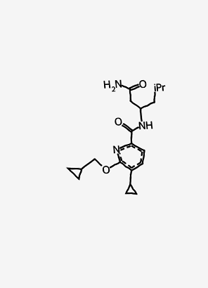 CC(C)CC(CC(N)=O)NC(=O)c1ccc(C2CC2)c(OCC2CC2)n1